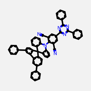 N#Cc1cc(-c2nc(-c3ccccc3)nc(-c3ccccc3)n2)cc(C#N)c1N1c2ccccc2C2(c3ccc(-c4ccccc4)cc3-c3cc(-c4ccccc4)ccc32)c2ccccc21